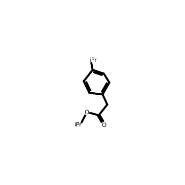 CC(C)OC(=O)Cc1ccc(C(C)C)cc1